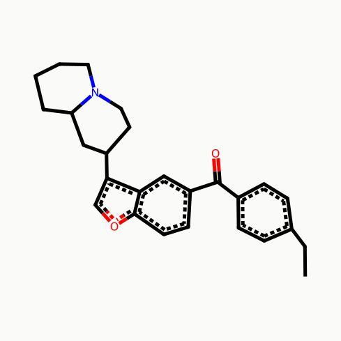 CCc1ccc(C(=O)c2ccc3occ(C4CCN5CCCCC5C4)c3c2)cc1